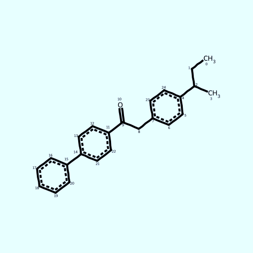 CCC(C)c1ccc(CC(=O)c2ccc(-c3ccccc3)cc2)cc1